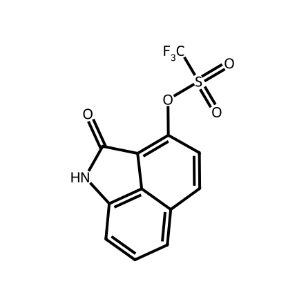 O=C1Nc2cccc3ccc(OS(=O)(=O)C(F)(F)F)c1c23